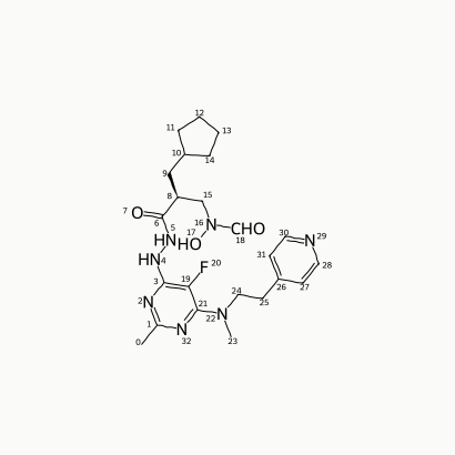 Cc1nc(NNC(=O)[C@@H](CC2CCCC2)CN(O)C=O)c(F)c(N(C)CCc2ccncc2)n1